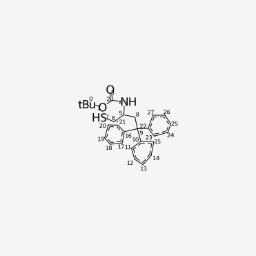 CC(C)(C)OC(=O)NC([CH]S)CC(c1ccccc1)(c1ccccc1)c1ccccc1